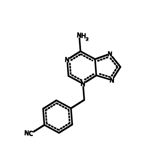 N#Cc1ccc(Cn2cnc(N)c3ncnc2-3)cc1